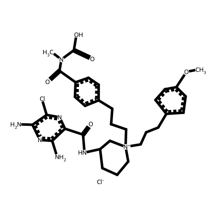 COc1ccc(CCC[N+]2(CCCc3ccc(C(=O)N(C)C(=O)O)cc3)CCCC(NC(=O)c3nc(Cl)c(N)nc3N)C2)cc1.[Cl-]